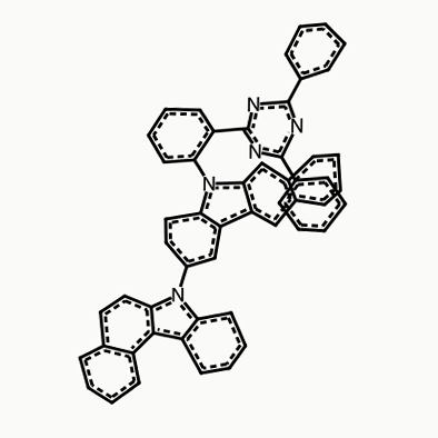 c1ccc(-c2nc(-c3ccccc3)nc(-c3ccccc3-n3c4ccc(-n5c6ccccc6c6c7ccccc7ccc65)cc4c4cc5ccccc5cc43)n2)cc1